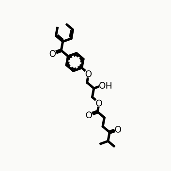 C/C=C\C(=C/C)C(=O)c1ccc(OCC(O)COC(=O)CCC(=O)C(C)C)cc1